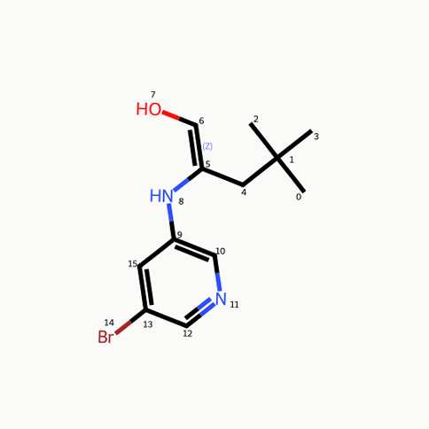 CC(C)(C)C/C(=C/O)Nc1cncc(Br)c1